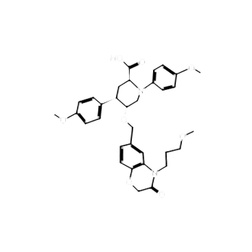 COCCCN1C(=O)COc2ccc(CO[C@H]3CN(c4ccc(OC)cc4)[C@H](C(=O)O)C[C@@H]3c3ccc(OC)cc3)cc21